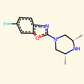 C[C@@H]1CN(c2nc3ccc(F)cc3o2)C[C@H](C)N1